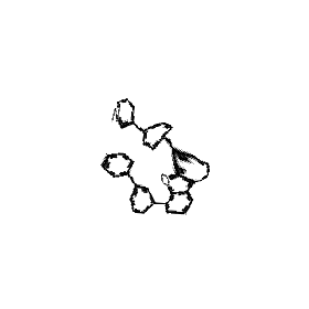 c1ccc(-c2cccc(-c3cccc4c3oc3c(-c5ccc(-c6cccnc6)cc5)cccc34)c2)cc1